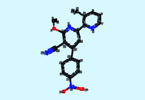 COc1nc(-c2ncccc2C)cc(-c2ccc([N+](=O)[O-])cc2)c1C#N